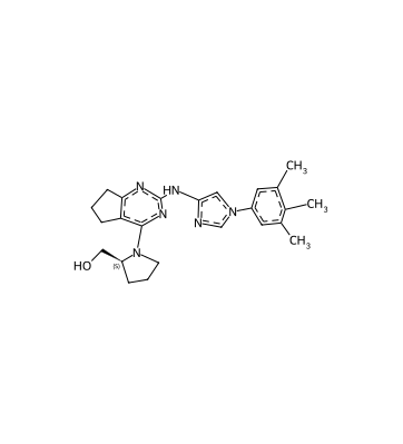 Cc1cc(-n2cnc(Nc3nc4c(c(N5CCC[C@H]5CO)n3)CCC4)c2)cc(C)c1C